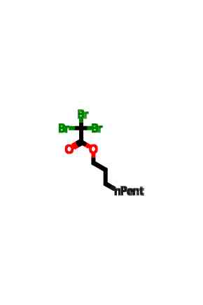 CCCCCCCCOC(=O)C(Br)(Br)Br